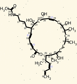 C=C/C=C\[C@H](C)[C@@H]1OC(=O)/C=C\C=C\C(CCCCNC(C)=O)[C@@H](O)C[C@H](O)/C=C\C[C@H](O)[C@@H](C)C[C@@H](C)CC[C@@H](O)[C@@H]1C